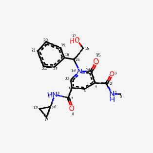 CNC(=O)c1cc(C(=O)NC2CC2)cn(C(CO)c2ccccc2)c1=O